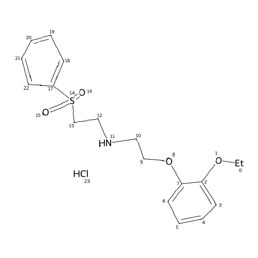 CCOc1ccccc1OCCNCCS(=O)(=O)c1ccccc1.Cl